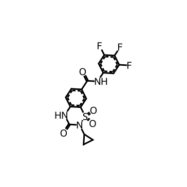 O=C(Nc1cc(F)c(F)c(F)c1)c1ccc2c(c1)S(=O)(=O)N(C1CC1)C(=O)N2